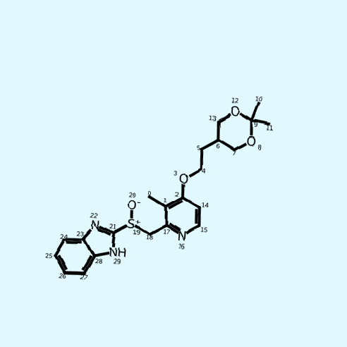 Cc1c(OCCC2COC(C)(C)OC2)ccnc1C[S+]([O-])c1nc2ccccc2[nH]1